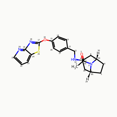 CC(=O)N1[C@@H]2CC[C@H]1C[C@H](NCc1ccc(Oc3nc4ncccc4s3)cc1)C2